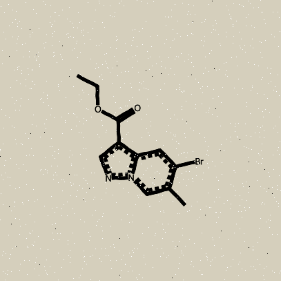 CCOC(=O)c1cnn2cc(C)c(Br)cc12